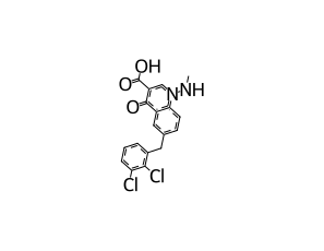 CNn1cc(C(=O)O)c(=O)c2cc(Cc3cccc(Cl)c3Cl)ccc21